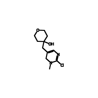 CN1CC(CC2(O)CCOCC2)=CN=C1Cl